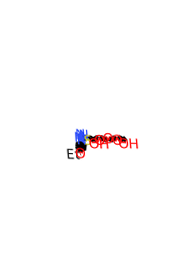 CCOc1ccc(-n2nnnc2SCC(O)COCCOCCOCC(C)O)cc1